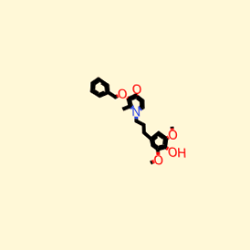 COc1cc(CCCn2ccc(=O)c(OCc3ccccc3)c2C)cc(OC)c1O